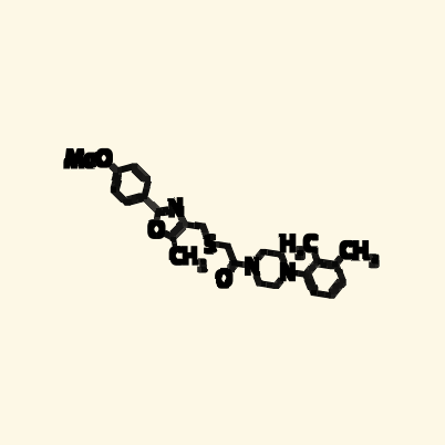 COc1ccc(-c2nc(CSCC(=O)N3CCN(c4cccc(C)c4C)CC3)c(C)o2)cc1